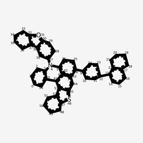 c1ccc(N(c2ccc(-c3ccc(-c4cccc5ccccc45)cc3)cc2)c2ccc3oc4ccccc4c3c2)c(-c2cccc3sc4ccccc4c23)c1